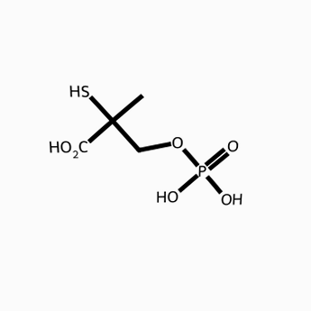 CC(S)(COP(=O)(O)O)C(=O)O